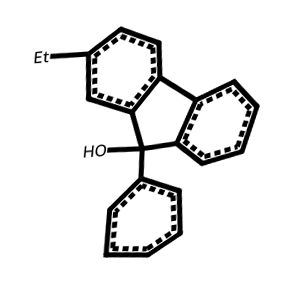 CCc1ccc2c(c1)C(O)(c1ccccc1)c1ccccc1-2